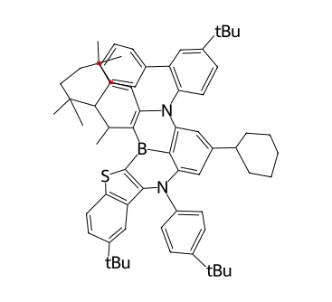 CC1C2=C(C=C3C1C(C)(C)CCC3(C)C)N(c1ccc(C(C)(C)C)cc1-c1ccccc1)c1cc(C3CCCCC3)cc3c1B2c1sc2ccc(C(C)(C)C)cc2c1N3c1ccc(C(C)(C)C)cc1